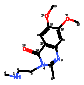 CNCCn1c(C)nc2cc(OC)c(OC)cc2c1=O